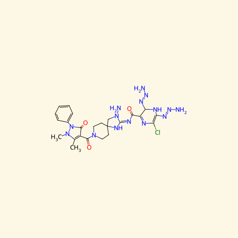 Cc1c(C(=O)N2CCC3(CC2)CN(N)/C(=N\C(=O)C2=NC(Cl)=C(N=NN)NC2N=NN)N3)c(=O)n(-c2ccccc2)n1C